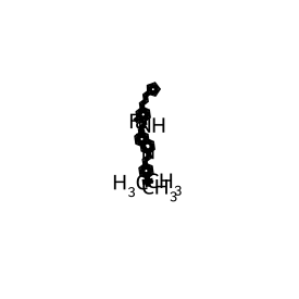 CC(C)(C)c1ccc(CCN2CCc3cc(SNc4ccc(CCCC5CCCC5)cc4F)ccc3C2)cc1